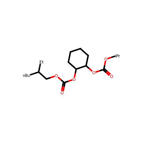 CCCCC(CC)COC(=O)OC1CCCCC1OC(=O)OC(C)C